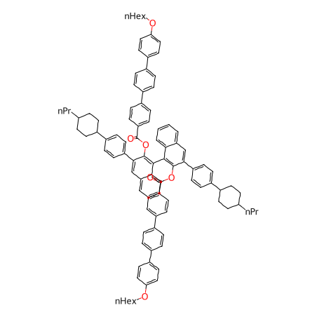 CCCCCCOc1ccc(-c2ccc(-c3ccc(C(=O)Oc4c(-c5ccc(C6CCC(CCC)CC6)cc5)cc5ccccc5c4-c4c(OC(=O)c5ccc(-c6ccc(-c7ccc(OCCCCCC)cc7)cc6)cc5)c(-c5ccc(C6CCC(CCC)CC6)cc5)cc5ccccc45)cc3)cc2)cc1